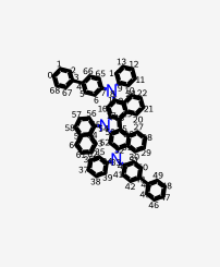 c1ccc(-c2ccc(N(c3ccccc3)c3cc4c(c5ccccc35)c3c5ccccc5c(N(c5ccccc5)c5ccc(-c6ccccc6)cc5)cc3n4-c3cccc4ccccc34)cc2)cc1